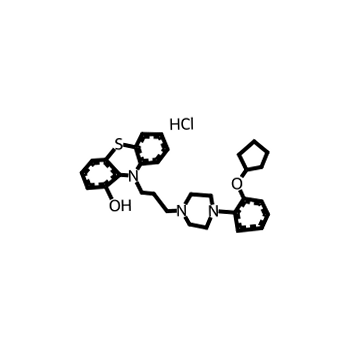 Cl.Oc1cccc2c1N(CCCN1CCN(c3ccccc3OC3CCCC3)CC1)c1ccccc1S2